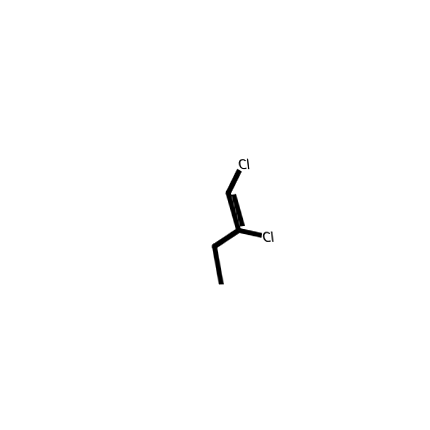 CCC(Cl)=CCl